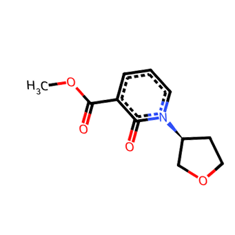 COC(=O)c1cccn([C@H]2CCOC2)c1=O